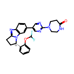 O=C1CCN(c2ncc(-c3ccc4nc5n(c4c3)[C@H](c3ccccc3OC(F)F)CC5)cn2)CCN1